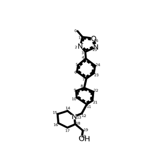 Cc1nc(-c2ccc(-c3ccc(CN4CCCCC4CO)cc3)cc2)no1